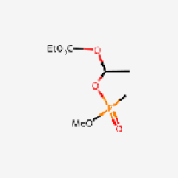 CCOC(=O)OC(C)OP(C)(=O)OC